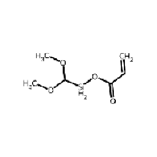 C=CC(=O)O[SiH2]C(OC)OC